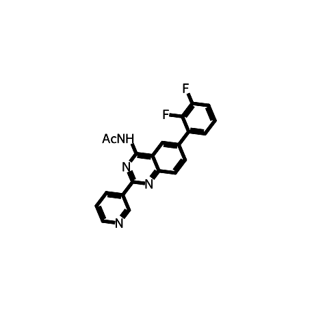 CC(=O)Nc1nc(-c2cccnc2)nc2ccc(-c3cccc(F)c3F)cc12